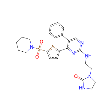 O=C1NCCN1CCNc1ncc(-c2ccccc2)c(-c2ccc(S(=O)(=O)N3CCCCC3)s2)n1